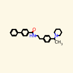 CC(c1ccc(CCNC(=O)c2ccc(-c3ccccc3)cc2)cc1)N1CCCCC1